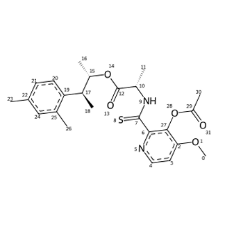 COc1ccnc(C(=S)N[C@@H](C)C(=O)O[C@@H](C)[C@@H](C)c2ccc(C)cc2C)c1OC(C)=O